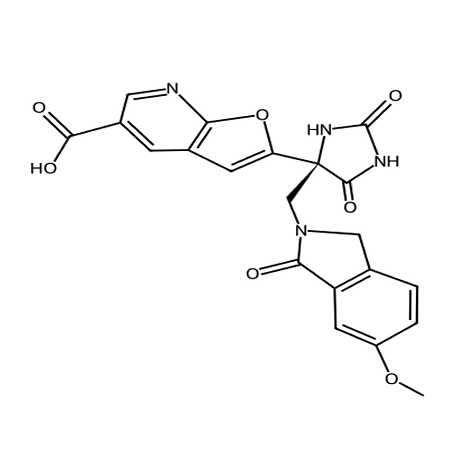 COc1ccc2c(c1)C(=O)N(C[C@@]1(c3cc4cc(C(=O)O)cnc4o3)NC(=O)NC1=O)C2